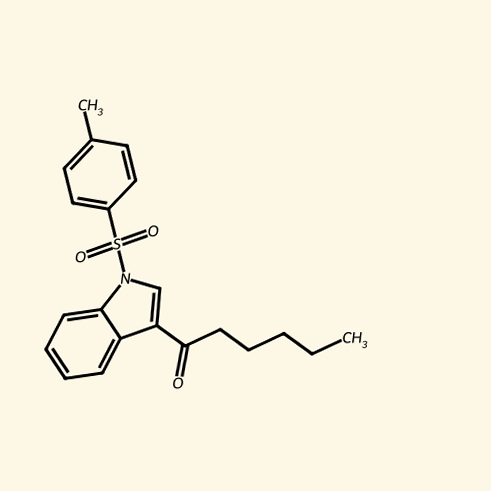 CCCCCC(=O)c1cn(S(=O)(=O)c2ccc(C)cc2)c2ccccc12